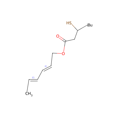 C/C=C/C=C/COC(=O)CC(S)C(C)CC